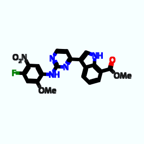 COC(=O)c1cccc2c(-c3ccnc(Nc4cc([N+](=O)[O-])c(F)cc4OC)n3)c[nH]c12